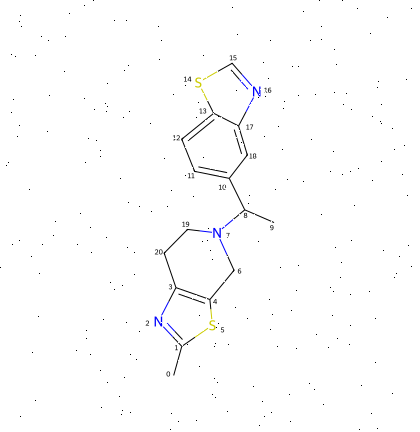 Cc1nc2c(s1)CN(C(C)c1ccc3scnc3c1)CC2